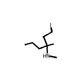 CCCC(C)(CCI)NC